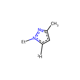 [2H]c1cc(C)nn1CC